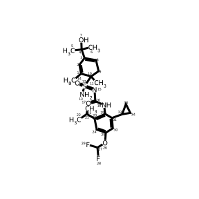 CC1=CC(C(C)(C)O)=CCC1(C)S(N)(=O)=NC(=O)Nc1c(C(C)C)cc(OC(F)F)cc1C1CC1